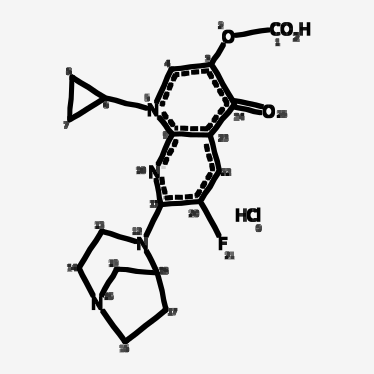 Cl.O=C(O)Oc1cn(C2CC2)c2nc(N3CCN4CCC3C4)c(F)cc2c1=O